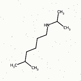 CC(C)CCCCNC(C)C